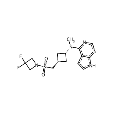 CN(c1ncnc2[nH]ccc12)[C@H]1C[C@H](CS(=O)(=O)N2CC(F)(F)C2)C1